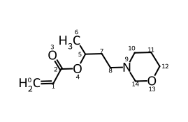 C=CC(=O)OC(C)CCN1CCCOC1